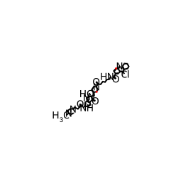 CN1CCN(CCC(=O)Nc2ccc3c(=O)n(CC4(O)CCN(C(=O)CCCCCNC(=O)c5ccc6nc7c(c(Cl)c6c5)CCCC7)CC4)cnc3c2)CC1